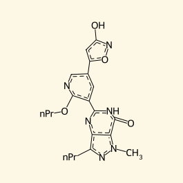 CCCOc1ncc(-c2cc(O)no2)cc1-c1nc2c(CCC)nn(C)c2c(=O)[nH]1